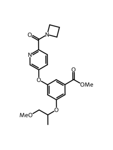 COCC(C)Oc1cc(Oc2ccc(C(=O)N3CCC3)nc2)cc(C(=O)OC)c1